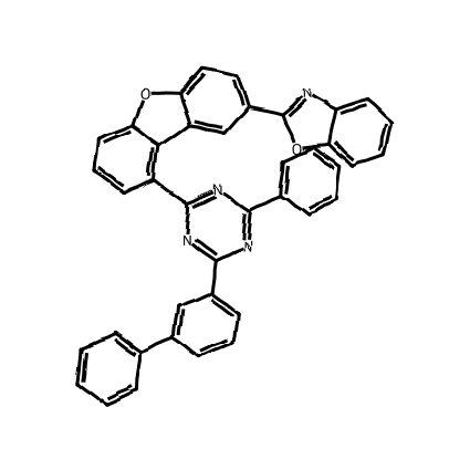 c1ccc(-c2cccc(-c3nc(-c4ccccc4)nc(-c4cccc5oc6ccc(-c7nc8ccccc8o7)cc6c45)n3)c2)cc1